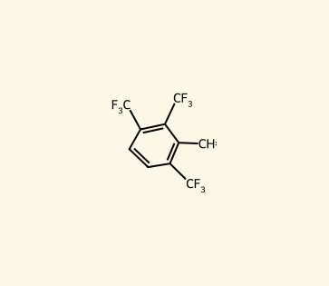 [CH]c1c(C(F)(F)F)ccc(C(F)(F)F)c1C(F)(F)F